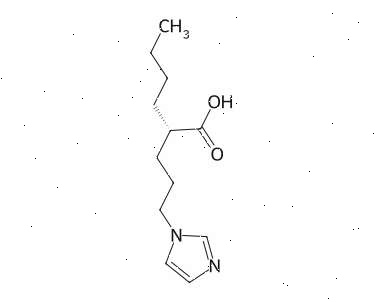 CCCC[C@@H](CCCn1ccnc1)C(=O)O